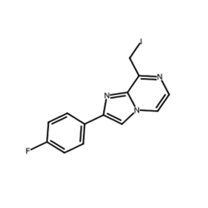 Fc1ccc(-c2cn3ccnc(CI)c3n2)cc1